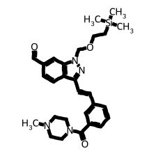 CN1CCN(C(=O)c2cccc(C=Cc3nn(COCC[Si](C)(C)C)c4cc(C=O)ccc34)c2)CC1